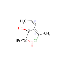 C/C=C\C(=C(/C)Cl)[C@H](O)[C@@H](O)C(C)C